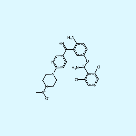 C[S+]([O-])N1CCN(c2ccc(C(=N)c3cc(O[C@H](N)c4c(Cl)cncc4Cl)ccc3N)cn2)CC1